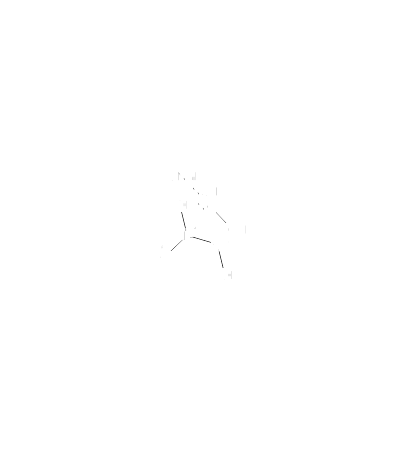 N#CO.OOB(O)O.[NaH].[NaH]